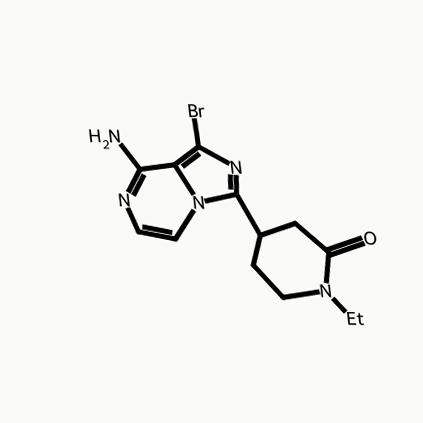 CCN1CCC(c2nc(Br)c3c(N)nccn23)CC1=O